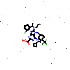 CCCN(c1nc2nc(C(=O)O)nc(NC(C)C3CCC3)c2n1Cc1ccc(C(F)(F)F)cc1)C(C)c1cccc(F)c1